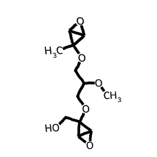 COC(COC1(C)C2OC21)COC1(CO)C2OC21